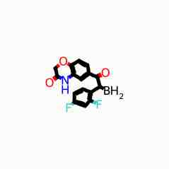 BC(C(=O)c1ccc2c(c1)NC(=O)CO2)c1ccc(F)cc1F